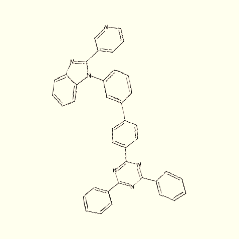 c1ccc(-c2nc(-c3ccccc3)nc(-c3ccc(-c4cccc(-n5c(-c6cccnc6)nc6ccccc65)c4)cc3)n2)cc1